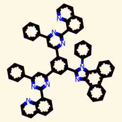 c1ccc(-c2cc(-c3cc(-c4cc(-c5ccccc5)nc(-c5cccc6cccnc56)n4)cc(-c4nc5c6ccccc6c6ccccc6c5n4-c4ccccc4)c3)nc(-c3cccc4cccnc34)n2)cc1